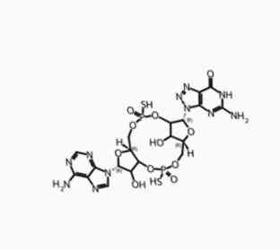 Nc1nc2c(nnn2[C@@H]2O[C@@H]3COP(=O)(S)OC4C(O)[C@H](n5cnc6c(N)ncnc65)O[C@@H]4COP(=O)(S)OC2C3O)c(=O)[nH]1